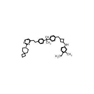 C=Cc1ccc(NC2CC(Cc3ccc(C(C)(C)c4ccc(CCc5ccnc(N6CCC7(CCC7)CC6)n5)cc4)cc3)C2)cc1C